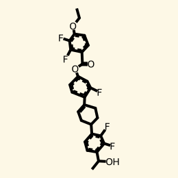 CCOc1ccc(C(=O)Oc2ccc(C3=CCC(c4ccc(C(C)O)c(F)c4F)CC3)c(F)c2)c(F)c1F